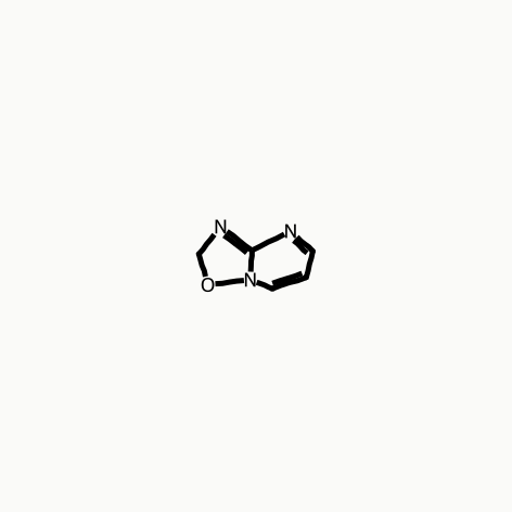 C1=CN2OCN=C2N=C1